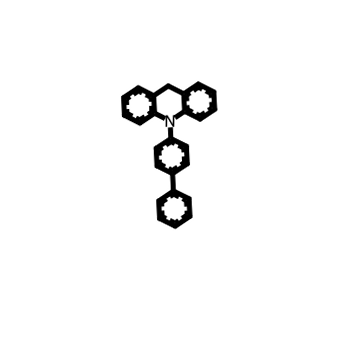 c1ccc(-c2ccc(N3c4ccccc4Cc4ccccc43)cc2)cc1